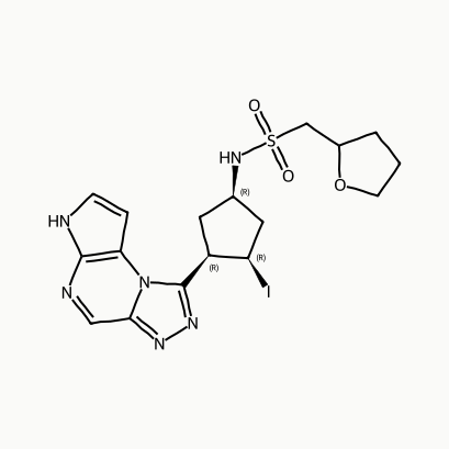 O=S(=O)(CC1CCCO1)N[C@H]1C[C@@H](I)[C@@H](c2nnc3cnc4[nH]ccc4n23)C1